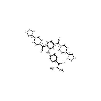 CC(C)C(=O)c1ccc(Nc2cc(C(=O)N3CCC(N4CCCC4)CC3)ccc2C(=O)N2CCC(N3CCCC3)CC2)cc1